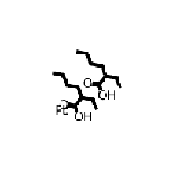 CCCCC(CC)C(=O)O.CCCCC(CC)C(=O)O.[Pb]